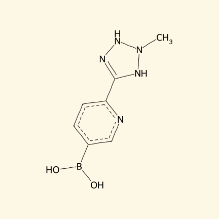 CN1NN=C(c2ccc(B(O)O)cn2)N1